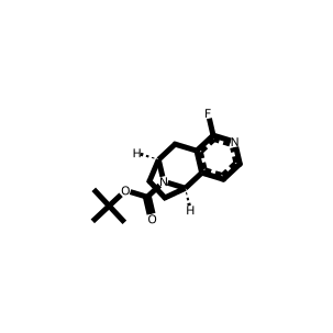 CC(C)(C)OC(=O)N1[C@H]2CC[C@@H]1c1ccnc(F)c1C2